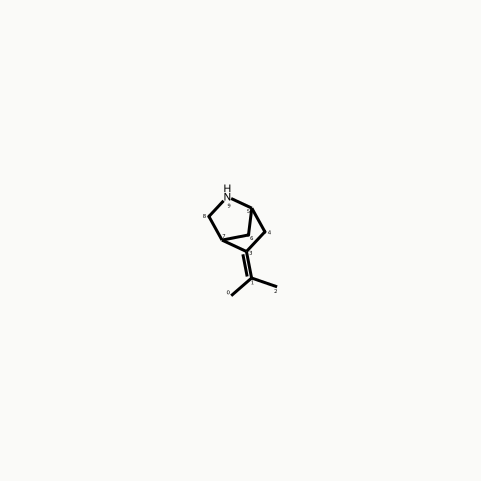 CC(C)=C1CC2CC1CN2